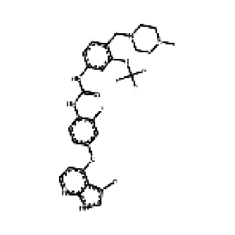 CN1CCN(Cc2ccc(NC(=O)Nc3ccc(Oc4ccnc5[nH]cc(Cl)c45)cc3F)cc2OC(F)(F)F)CC1